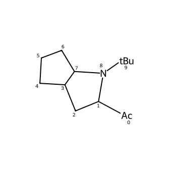 CC(=O)C1CC2CCCC2N1C(C)(C)C